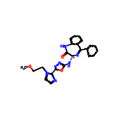 COCCn1ccnc1-c1nnc(N[C@H]2N=C(c3ccccc3)c3ccccc3NC2=O)o1